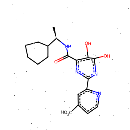 C[C@@H](NC(=O)c1nc(-c2cc(C(=O)O)ccn2)nc(O)c1O)C1CCCCC1